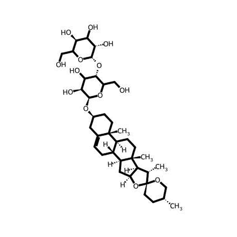 C[C@@H]1CC[C@@]2(OC1)O[C@H]1C[C@H]3[C@@H]4CC=C5C[C@@H](O[C@@H]6OC(CO)[C@@H](O[C@@H]7OC(CO)[C@@H](O)C(O)[C@@H]7O)C(O)[C@@H]6O)CC[C@]5(C)[C@H]4CC[C@]3(C)[C@H]1[C@@H]2C